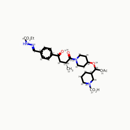 CCOC(=O)NN=Cc1ccc(C(=O)C[C@@H](C)C(=O)N2CCC(OC(OC(C)=O)C3CCCN(C(=O)O)C3)CC2)cc1